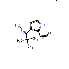 C/C=C\c1[nH]ccc1/C(=N\C)C(C)(C)C